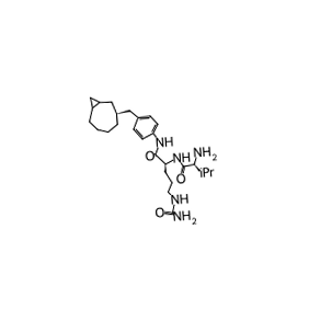 CC(C)[C@H](N)C(=O)N[C@@H](CCCNC(N)=O)C(=O)Nc1ccc(C[C@H]2CCCCC3CC3C2)cc1